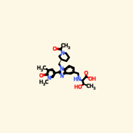 CC(=O)N1CCC[C@H](Cn2c(-c3cc(C)c(=O)n(C)c3)nc3cc(CN[C@@H](C(=O)O)[C@@H](C)O)ccc32)C1